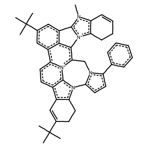 Cn1c2c([n+]3c1-c1cc(C(C)(C)C)cc4c1c-3c1[n+]3c4ccc4c5c(n(c43)-c3ccc(-c4ccccc4)n3C1)CCC(C(C)(C)C)=C5)CCC=C2